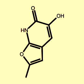 Cc1cc2cc(O)c(=O)[nH]c2o1